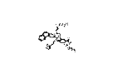 COC(=O)N(C)C(=O)c1ccc2c(c1)nc(C(Cc1cccc3ccccc13)NC(=O)CCC(=O)O)n2CCc1cccs1